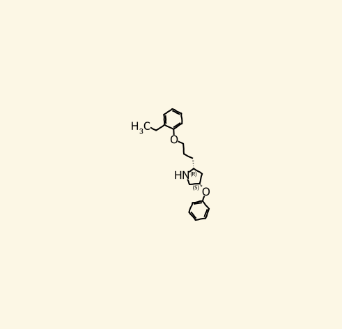 CCc1ccccc1OCCC[C@@H]1C[C@H](Oc2ccccc2)CN1